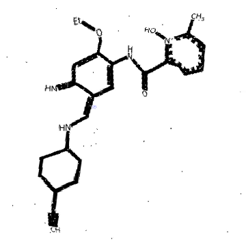 C#CC1CCC(N/C=C2/C=C(NC(=O)c3cccc(C)[n+]3O)C(OCC)=CC2=N)CC1